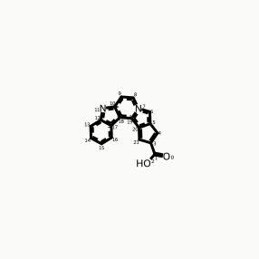 O=C(O)C1=Cc2cn3ccc4nc5ccccc5c4c3c2=C1